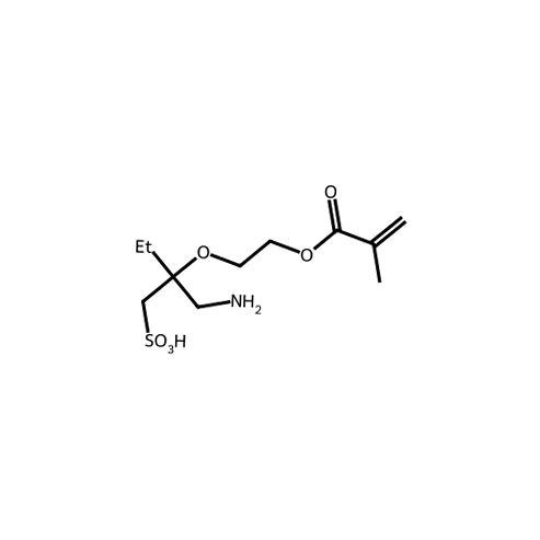 C=C(C)C(=O)OCCOC(CC)(CN)CS(=O)(=O)O